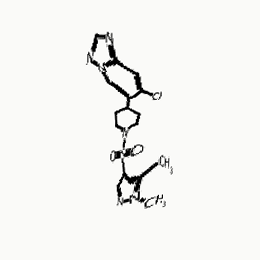 Cc1c(S(=O)(=O)N2CCC(c3cn4ncnc4cc3Cl)CC2)cnn1C